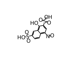 O=Nc1cc(S(=O)(=O)O)c(O)c2cc(S(=O)(=O)O)ccc12